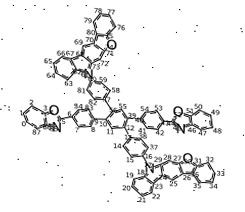 c1ccc2oc(-c3ccc(-c4cc(-c5ccc(-n6c7ccccc7c7cc8c(cc76)oc6ccccc68)cc5)c(-c5ccc(-c6nc7ccccc7o6)cc5)cc4-c4ccc(-n5c6ccccc6c6cc7c(cc65)oc5ccccc57)cc4)cc3)nc2c1